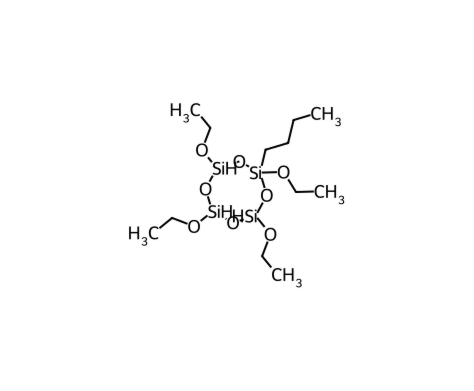 CCCC[Si]1(OCC)O[SiH](OCC)O[SiH](OCC)O[SiH](OCC)O1